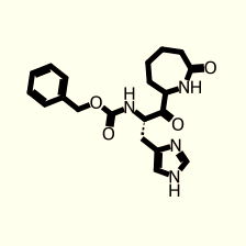 O=C1CCCCC(C(=O)[C@H](Cc2c[nH]cn2)NC(=O)OCc2ccccc2)N1